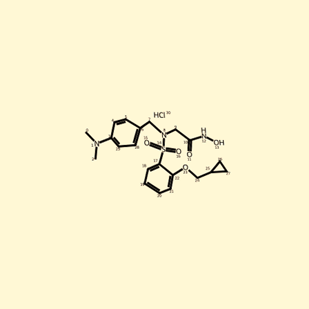 CN(C)c1ccc(CN(CC(=O)NO)S(=O)(=O)c2ccccc2OCC2CC2)cc1.Cl